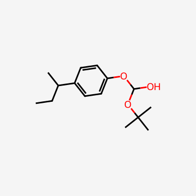 CCC(C)c1ccc(OC(O)OC(C)(C)C)cc1